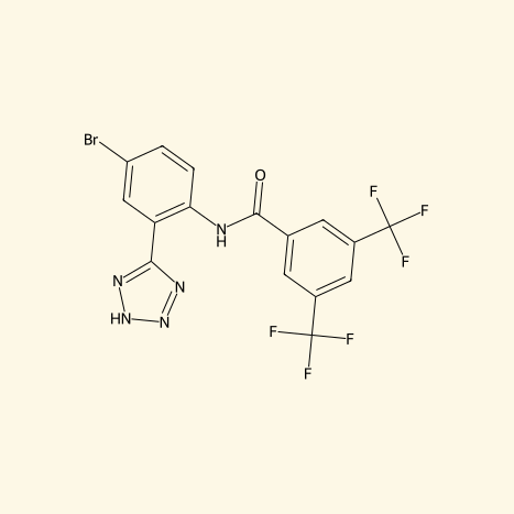 O=C(Nc1ccc(Br)cc1-c1nn[nH]n1)c1cc(C(F)(F)F)cc(C(F)(F)F)c1